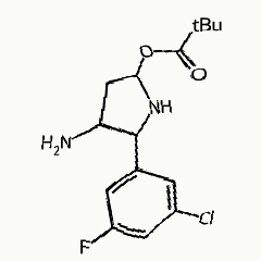 CC(C)(C)C(=O)OC1CC(N)C(c2cc(F)cc(Cl)c2)N1